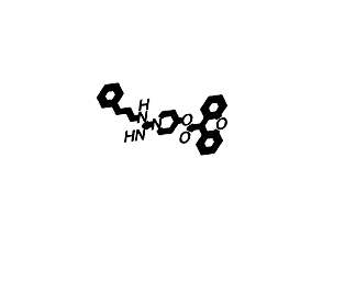 N=C(NCCCc1ccccc1)N1CCC(OC(=O)C2c3ccccc3Oc3ccccc32)CC1